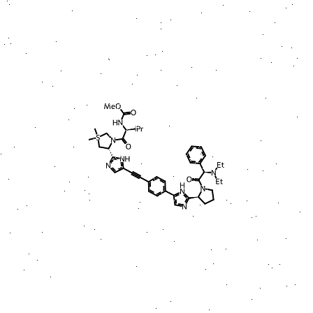 CCN(CC)[C@@H](C(=O)N1CCC[C@H]1c1ncc(-c2ccc(C#Cc3cnc([C@@H]4CS(C)(C)CN4C(=O)[C@@H](NC(=O)OC)C(C)C)[nH]3)cc2)[nH]1)c1ccccc1